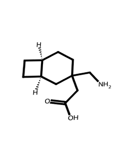 NCC1(CC(=O)O)CC[C@@H]2CC[C@@H]2C1